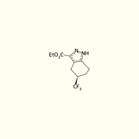 CCOC(=O)c1n[nH]c2c1C[C@H](C(F)(F)F)CC2